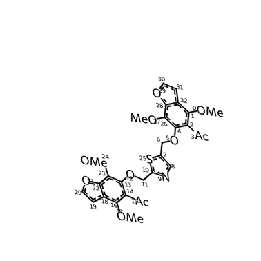 COc1c(C(C)=O)c(OCc2cnc(COc3c(C(C)=O)c(OC)c4ccoc4c3OC)s2)c(OC)c2occc12